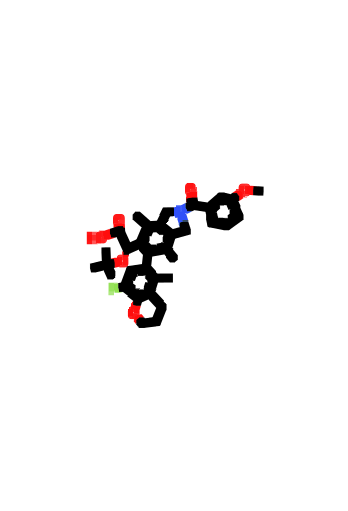 COc1cccc(C(=O)N2Cc3c(C)c(-c4cc(F)c5c(c4C)CCCO5)c([C@H](OC(C)(C)C)C(=O)O)c(C)c3C2)c1